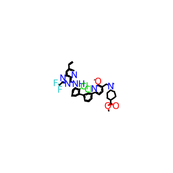 C=Cc1cnc2c(Nc3cccc(-c4cccc(-c5ccc(CN(C)C6CCC(C(=O)OC)CC6)c(OC)n5)c4Cl)c3Cl)nc(C(F)F)nc2c1